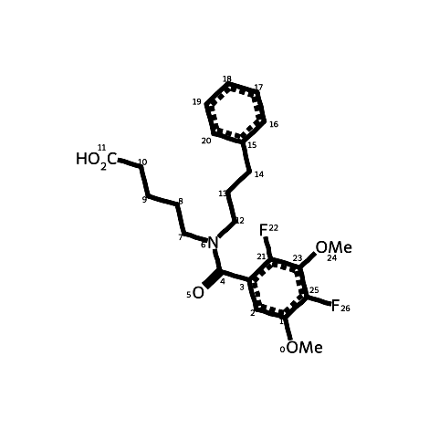 COc1cc(C(=O)N(CCCCC(=O)O)CCCc2ccccc2)c(F)c(OC)c1F